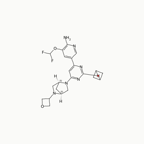 Nc1ncc(-c2cc(N3C[C@@H]4C[C@H]3CN4C3COC3)nc(N3CC4CC3C4)n2)cc1OC(F)F